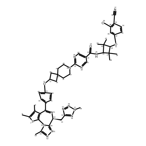 Cc1sc2c(c1C)C(c1ccc(OC3CC4(CCN(c5ncc(C(=O)NC6C(C)(C)C(Oc7ccc(C#N)c(Cl)c7)C6(C)C)cn5)CC4)C3)cc1)=N[C@@H](Cc1nnn(C)n1)c1nnc(C)n1-2